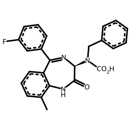 Cc1cccc2c1NC(=O)[C@H](N(Cc1ccccc1)C(=O)O)N=C2c1cccc(F)c1